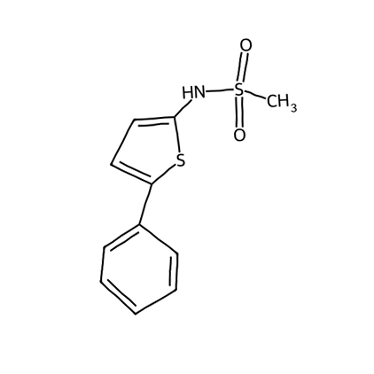 CS(=O)(=O)Nc1ccc(-c2ccccc2)s1